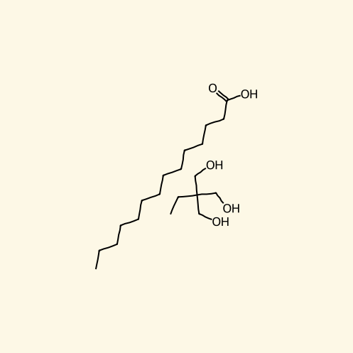 CCC(CO)(CO)CO.CCCCCCCCCCCCCC(=O)O